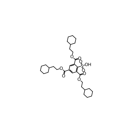 O=C(OCCC1CCCCC1)c1cc(C(=O)OCCC2CCCCC2)c(S(=O)(=O)O)c(C(=O)OCCC2CCCCC2)c1